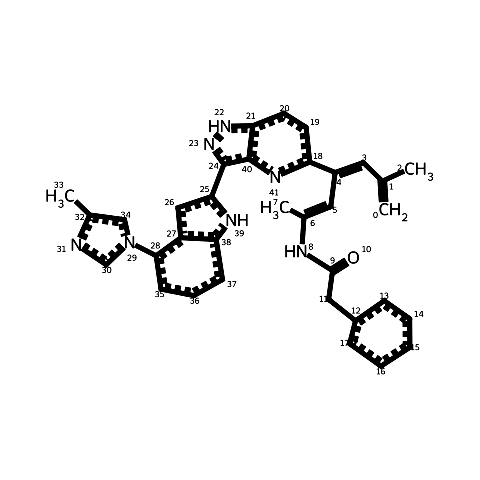 C=C(C)/C=C(\C=C(/C)NC(=O)Cc1ccccc1)c1ccc2[nH]nc(-c3cc4c(-n5cnc(C)c5)cccc4[nH]3)c2n1